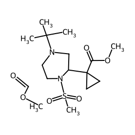 COC(=O)C1(C2CN(C(C)(C)C)CCN2S(C)(=O)=O)CC1.COC=O